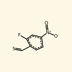 O=[N+]([O-])c1ccc(C=S)c(F)c1